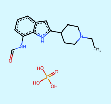 CCN1CCC(c2cc3cccc(NC=O)c3[nH]2)CC1.O=P(O)(O)O